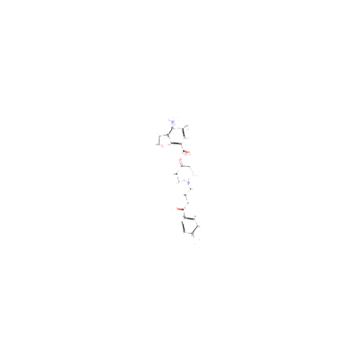 CCc1ccc(C(=O)CCCN2CCC(OC(=O)c3cc(Cl)c(N)c4c3OCC4)CC2)cc1